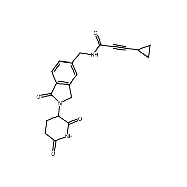 O=C(C#CC1CC1)NCc1ccc2c(c1)CN(C1CCC(=O)NC1=O)C2=O